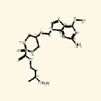 C=C(OCC[C@H](C)C(=O)OCC)P1(=O)OCC(OCn2cnc3c(OCC)nc(N)nc32)CO1